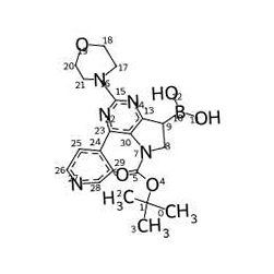 CC(C)(C)OC(=O)N1CC(B(O)O)c2nc(N3CCOCC3)nc(-c3ccncc3)c21